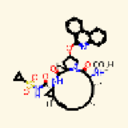 C[C@@H]1CC/C=C\[C@@H]2C[C@@]2(C(=O)NS(=O)(=O)C2CC2)NC(=O)[C@@H]2C[C@@H](Oc3nc4ccccc4c4ccccc34)CN2C(=O)[C@@H](NC(=O)O)[C@H](C)C1